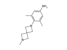 Cc1cc(N)cc(C)c1N1CC2(CN(C)C2)C1